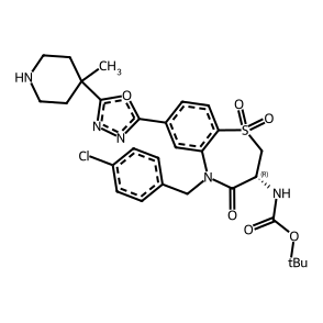 CC(C)(C)OC(=O)N[C@H]1CS(=O)(=O)c2ccc(-c3nnc(C4(C)CCNCC4)o3)cc2N(Cc2ccc(Cl)cc2)C1=O